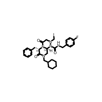 O=C1[C@H](Cc2ccccc2)N2C(=O)CN(CI)N(C(=O)NCc3ccc(F)cc3)[C@H]2CN1CC1CCCCC1